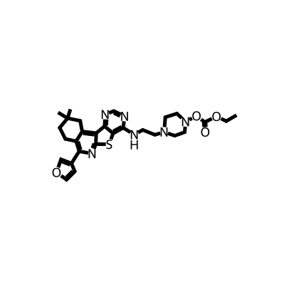 CCOC(=O)ON1CCN(CCNc2ncnc3c2sc2nc(-c4ccoc4)c4c(c23)CC(C)(C)CC4)CC1